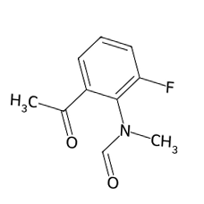 CC(=O)c1cccc(F)c1N(C)C=O